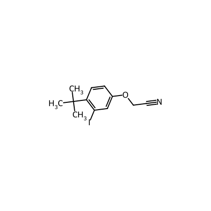 CC(C)(C)c1ccc(OCC#N)cc1I